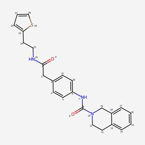 O=C(Cc1ccc(NC(=O)N2CCc3ccccc3C2)cc1)NCCc1cccs1